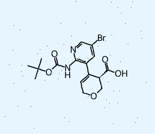 CC(C)(C)OC(=O)Nc1ncc(Br)cc1C1=CCOC[C@@H]1C(=O)O